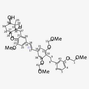 COCOc1cccc(CCc2c(OCOC)cc(/C=C/c3cc4c(c(OC)c3)O[C@]3(C)CC[C@@H](O)C(C)(C)[C@H]3C4)cc2OCOC)c1